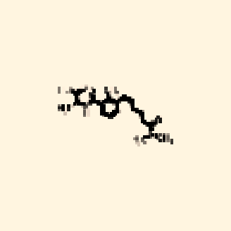 Cc1c(/C=C\CCCC(=O)N(C)C)cccc1C(=O)N[C@@H](C)C(=O)O